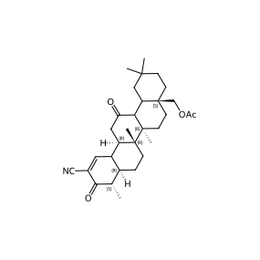 CC(=O)OC[C@]12CCC(C)(C)CC1C1C(=O)C[C@@H]3C4C=C(C#N)C(=O)[C@@H](C)[C@@H]4CC[C@@]3(C)[C@]1(C)CC2